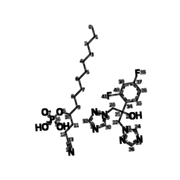 CCCCCCCCCCC(CCC#N)OP(=O)(O)O.OC(Cn1cncn1)(Cn1cncn1)c1ccc(F)cc1F